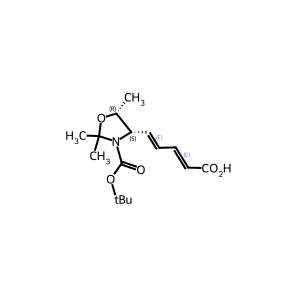 C[C@H]1OC(C)(C)N(C(=O)OC(C)(C)C)[C@H]1/C=C/C=C/C(=O)O